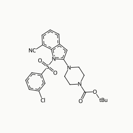 CC(C)(C)OC(=O)N1CCN(c2cc3cccc(C#N)c3n2S(=O)(=O)c2cccc(Cl)c2)CC1